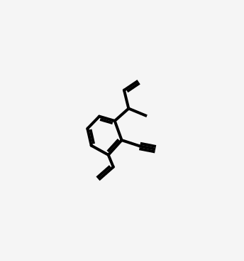 C#Cc1c(C=C)cccc1[C](C)C=C